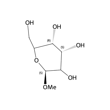 CO[C@H]1OC(CO)[C@H](O)[C@H](O)C1O